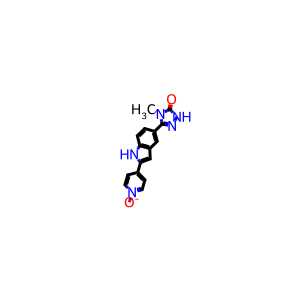 Cn1c(-c2ccc3[nH]c(-c4cc[n+]([O-])cc4)cc3c2)n[nH]c1=O